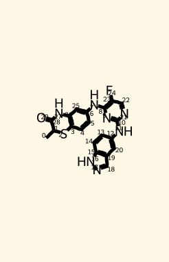 CC1Sc2ccc(Nc3nc(Nc4ccc5[nH]ncc5c4)ncc3F)cc2NC1=O